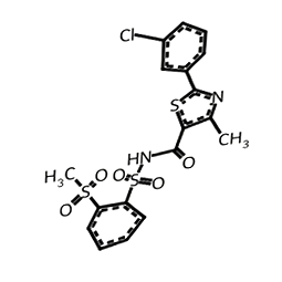 Cc1nc(-c2cccc(Cl)c2)sc1C(=O)NS(=O)(=O)c1ccccc1S(C)(=O)=O